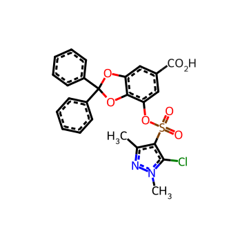 Cc1nn(C)c(Cl)c1S(=O)(=O)Oc1cc(C(=O)O)cc2c1OC(c1ccccc1)(c1ccccc1)O2